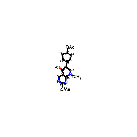 CSc1ncc2c(=O)c(-c3ccc(OC(C)=O)cc3)cn(C)c2n1